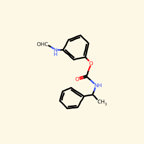 CC(NC(=O)Oc1cccc(NC=O)c1)c1ccccc1